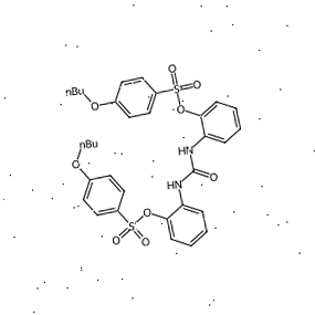 CCCCOc1ccc(S(=O)(=O)Oc2ccccc2NC(=O)Nc2ccccc2OS(=O)(=O)c2ccc(OCCCC)cc2)cc1